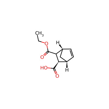 CCOC(=O)C1[C@@H]2C=C[C@@H](C2)[C@H]1C(=O)O